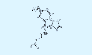 CN(C)CCCNc1nc2cc(N)ccc2c2sccc12